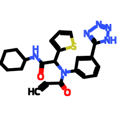 C#CC(=O)N(c1cccc(-c2nnn[nH]2)c1)C(C(=O)NC1CCCCC1)c1cccs1